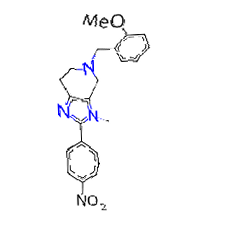 COc1ccccc1CN1CCc2nc(-c3ccc([N+](=O)[O-])cc3)n(C)c2C1